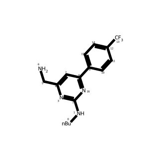 CCCCNc1nc(CN)cc(-c2ccc(C(F)(F)F)cc2)n1